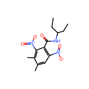 CCC(CC)NC(=O)c1c([N+](=O)[O-])cc(C)c(C)c1[N+](=O)[O-]